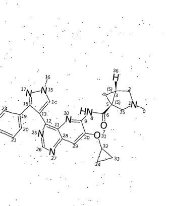 CN1C[C@H]2C[C@@]2(C(=O)Nc2nc3c(-c4cn(C)nc4-c4ccccc4)ncnc3cc2OC2CC2)C1